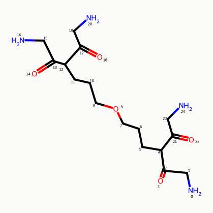 NCC(=O)C(CCCOCCCC(C(=O)CN)C(=O)CN)C(=O)CN